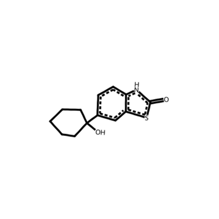 O=c1[nH]c2ccc(C3(O)CCCCC3)cc2s1